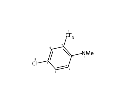 CNc1ccc(Cl)cc1C(F)(F)F